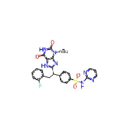 CCCCn1c(=O)[nH]c(=O)c2[nH]c(C(Cc3ccccc3F)c3ccc(S(=O)(=O)Nc4ncccn4)cc3)nc21